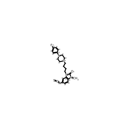 Cn1c(=O)n(CCCCN2CCN(c3ccc(F)cc3)CC2)c2cc(N=C=S)ccc21